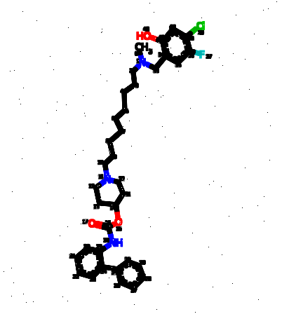 CN(CCCCCCCCCN1CCC(OC(=O)Nc2ccccc2-c2ccccc2)CC1)Cc1cc(F)c(Cl)cc1O